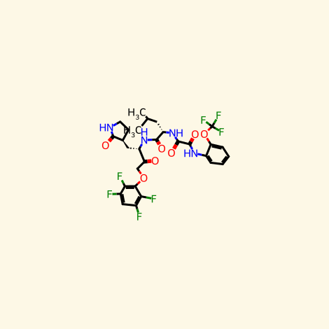 CC(C)C[C@H](NC(=O)C(=O)Nc1ccccc1OC(F)(F)F)C(=O)N[C@@H](C[C@@H]1CCNC1=O)C(=O)COc1c(F)c(F)cc(F)c1F